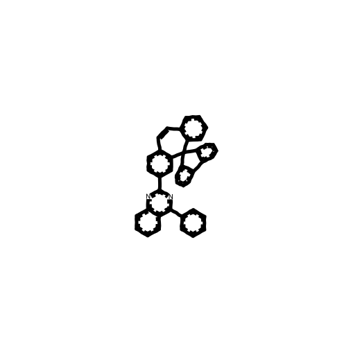 C1=Cc2ccc(-c3nc(-c4ccccc4)c4ccccc4n3)cc2C2(c3ccccc31)c1ccccc1-c1ccccc12